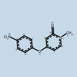 Cn1ccc(Oc2ccc([N+](=O)[O-])cc2)cc1=O